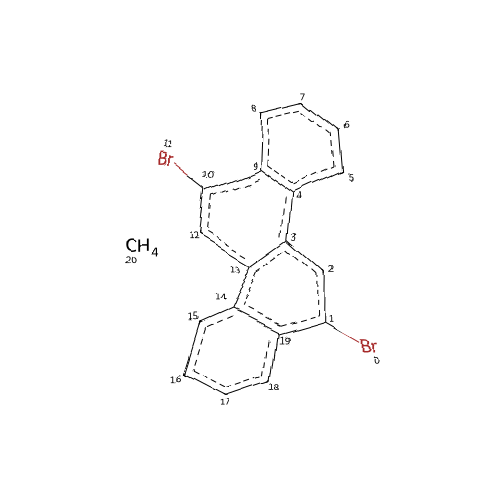 Brc1cc2c3ccccc3c(Br)cc2c2ccccc12.C